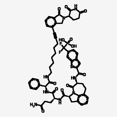 NC(=O)CC[C@H](NC(=O)[C@@H]1Cc2cccc3c2N1C(=O)[C@@H](NC(=O)c1cc2ccc(C(F)(F)P(=O)(O)O)cc2s1)CC3)C(=O)N[C@H](C(=O)NCCCCCCCC#Cc1cccc2c1CN(C1CCC(=O)NC1=O)C2=O)c1ccccc1